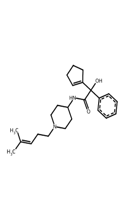 CC(C)=CCCN1CCC(NC(=O)C(O)(C2=CCCC2)c2ccccc2)CC1